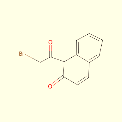 O=C1C=Cc2ccccc2C1C(=O)CBr